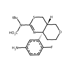 CC(C)(C)N(C(=O)O)C1=N[C@]2(c3cc(N)ccc3F)CCOC[C@H]2CS1